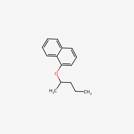 CCCC(C)Oc1cccc2ccccc12